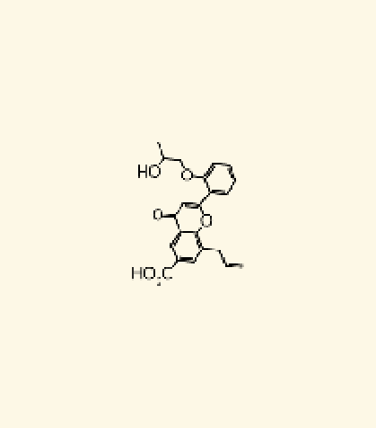 C=CCc1cc(C(=O)O)cc2c(=O)cc(-c3ccccc3OCC(C)O)oc12